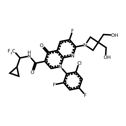 O=C(NC(C1CC1)C(F)(F)F)c1cn(-c2c(F)cc(F)cc2Cl)c2nc(N3CC(CO)(CO)C3)c(F)cc2c1=O